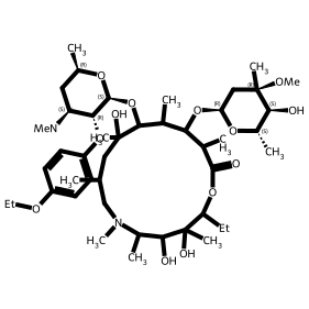 CCOc1ccc(O[C@H]2[C@H](OC3C(C)C(O[C@H]4C[C@@](C)(OC)[C@@H](O)[C@H](C)O4)C(C)C(=O)OC(CC)C(C)(O)C(O)C(C)N(C)CC(C)CC3(C)O)O[C@H](C)C[C@@H]2NC)cc1